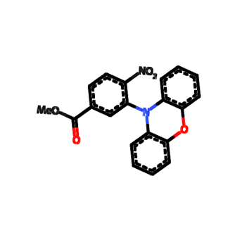 COC(=O)c1ccc([N+](=O)[O-])c(N2c3ccccc3Oc3ccccc32)c1